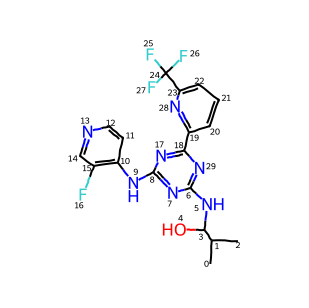 CC(C)C(O)Nc1nc(Nc2ccncc2F)nc(-c2cccc(C(F)(F)F)n2)n1